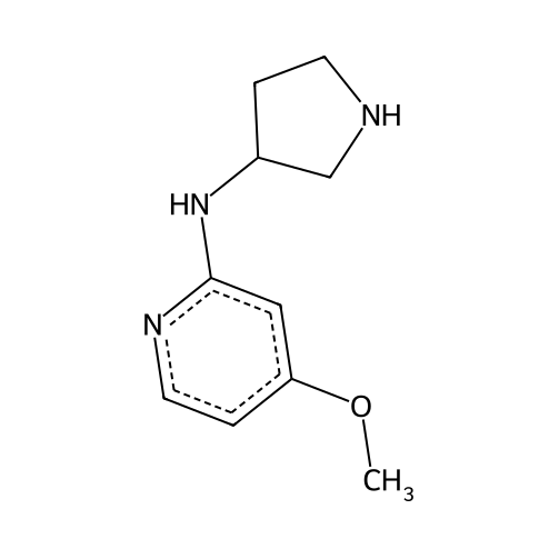 COc1ccnc(NC2CCNC2)c1